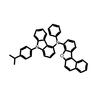 CC(C)c1ccc(-n2c3ccccc3c3c(N(c4ccccc4)c4cccc5c4oc4ccc6ccccc6c45)cccc32)cc1